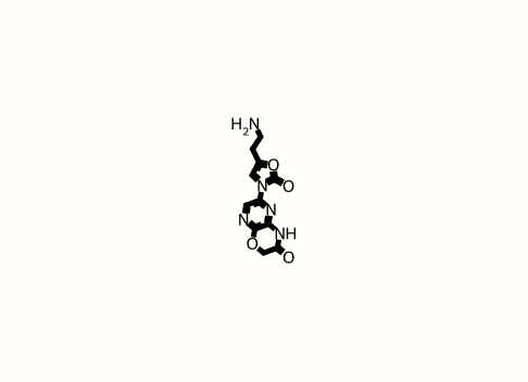 NCCc1cn(-c2cnc3c(n2)NC(=O)CO3)c(=O)o1